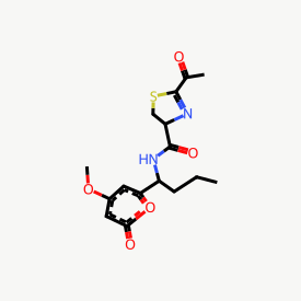 CCCC(NC(=O)C1CSC(C(C)=O)=N1)c1cc(OC)cc(=O)o1